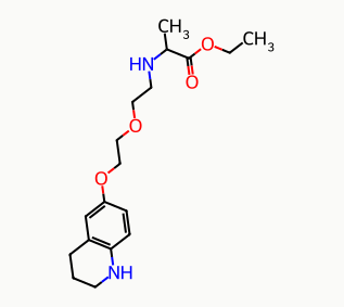 CCOC(=O)C(C)NCCOCCOc1ccc2c(c1)CCCN2